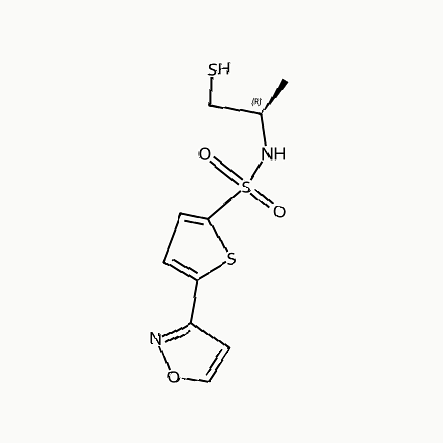 C[C@H](CS)NS(=O)(=O)c1ccc(-c2ccon2)s1